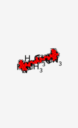 CC1(C)c2cc(/C=C/c3ccc4c(c3)C(C)(C)c3cc(N(c5ccncc5)c5cc6ccccc6c6ccccc56)ccc3-4)ccc2-c2ccc(/C=C/c3ccc4c(c3)C(C)(C)c3cc(N(c5ccncc5)c5cc6ccccc6c6ccccc56)ccc3-4)cc21